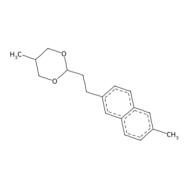 Cc1ccc2cc(CCC3OCC(C)CO3)ccc2c1